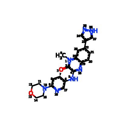 Cn1c(=O)c(Nc2ccc(N3CCOCC3)nc2)nc2ccc(-c3cn[nH]c3)cc21